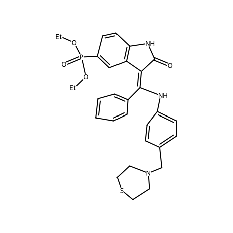 CCOP(=O)(OCC)c1ccc2c(c1)/C(=C(/Nc1ccc(CN3CCSCC3)cc1)c1ccccc1)C(=O)N2